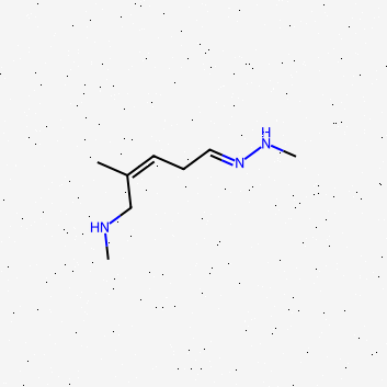 CNC/C(C)=C\C/C=N/NC